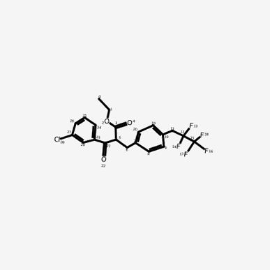 CCOC(=O)C(Cc1ccc(CC(F)(F)C(F)(F)F)cc1)C(=O)c1cccc(Cl)c1